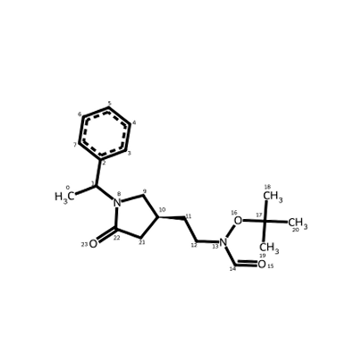 CC(c1ccccc1)N1C[C@@H](CCN(C=O)OC(C)(C)C)CC1=O